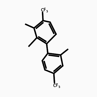 Cc1cc(C(F)(F)F)ccc1-c1ccc(C(F)(F)F)c(C)c1C